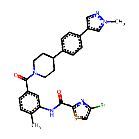 Cc1ccc(C(=O)N2CCC(c3ccc(-c4cnn(C)c4)cc3)CC2)cc1NC(=O)c1nc(Br)cs1